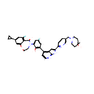 CC1(O)CCN(Cc2ccc(-c3cc4c(-c5cc(F)cc(N6CCOc7cc(C8CC8)cc(F)c7C6=O)c5O)ccnc4[nH]3)nc2)CC1